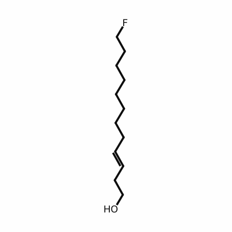 OCCC=CCCCCCCCCF